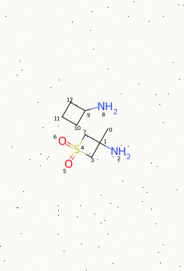 CC1(N)CS(=O)(=O)C1.NC1CCC1